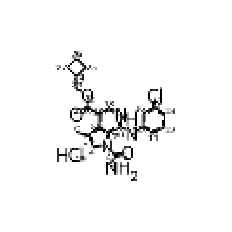 Cc1cn(C(N)=O)c2c(Nc3cccc(Cl)c3)ncc(C(=O)OCC3CCC3)c12.Cl